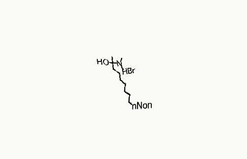 Br.CCCCCCCCCCCCCCCCC(C)(O)N(C)C